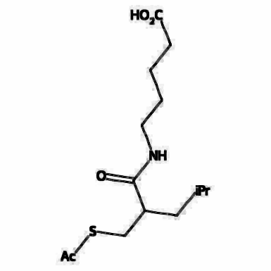 CC(=O)SCC(CC(C)C)C(=O)NCCCCC(=O)O